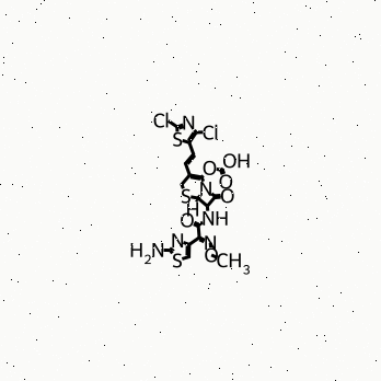 CON=C(C(=O)NC1C(=O)N2C(OC(=O)O)=C(C=Cc3sc(Cl)nc3Cl)CS[C@@H]12)c1csc(N)n1